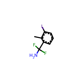 Cc1c(I)cccc1C(N)(F)F